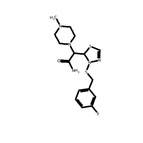 CN1CCN(C(C(N)=O)C2SC=NN2SCc2cccc(F)c2)CC1